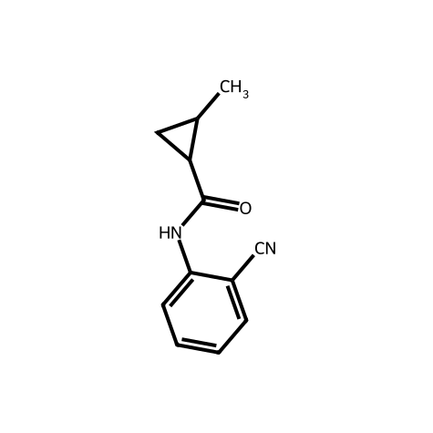 CC1CC1C(=O)Nc1ccccc1C#N